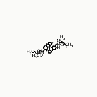 CCCC(C)(C)C(=O)NCc1ccc(F)[c]([Ti]([C]2=CC=CC2)([C]2=CC=CC2)[c]2c(F)ccc(CNC(=O)C(C)(C)CCC)c2F)c1F